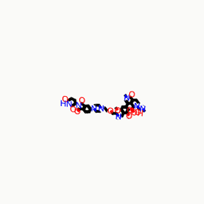 COc1cc(-c2cn(C)c(=O)c3c2C(C(=O)O)N(C(=O)N(C)C)CC3)cc(OC)c1CN(C)CCOCCN1CCN(c2ccc3c(c2)C(=O)N(C2CCC(=O)NC2=O)C3=O)CC1